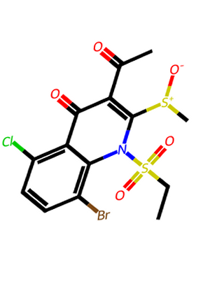 CCS(=O)(=O)n1c([S+](C)[O-])c(C(C)=O)c(=O)c2c(Cl)ccc(Br)c21